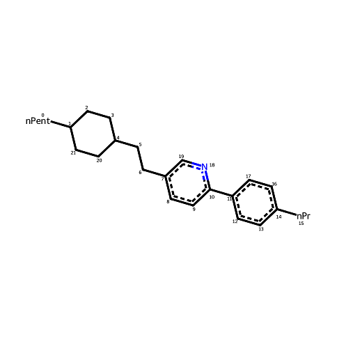 CCCCCC1CCC(CCc2ccc(-c3ccc(CCC)cc3)nc2)CC1